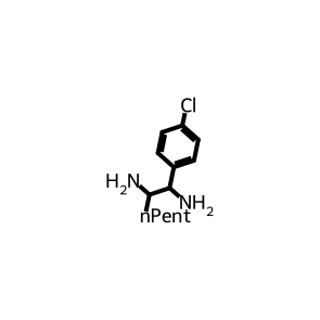 CCCCCC(N)C(N)c1ccc(Cl)cc1